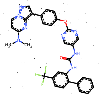 CN(C)c1ccn2ncc(-c3ccc(Oc4ncc(NC(=O)Nc5cc(C(F)(F)F)ccc5-c5ccccc5)cn4)cc3)c2n1